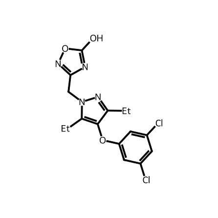 CCc1nn(Cc2noc(O)n2)c(CC)c1Oc1cc(Cl)cc(Cl)c1